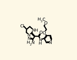 COCCOc1ccncc1NC(=O)c1c(N)nn2c1NCC(Cl)C2